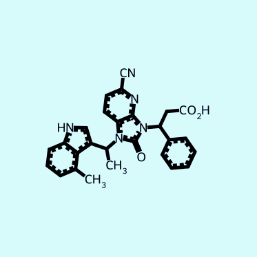 Cc1cccc2[nH]cc(C(C)n3c(=O)n(C(CC(=O)O)c4ccccc4)c4nc(C#N)ccc43)c12